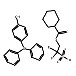 O=C(OCC(F)(F)S(=O)(=O)O)C1CCCCC1.Oc1ccc([S+](c2ccccc2)c2ccccc2)cc1